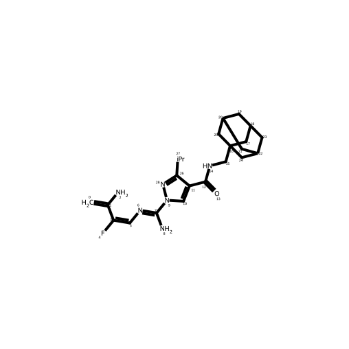 C=C(N)/C(F)=C\N=C(/N)n1cc(C(=O)NCC23CC4CC(CC(C4)C2)C3)c(C(C)C)n1